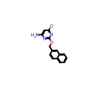 Nc1cc(Cl)nc(OCc2ccc3ccccc3c2)n1